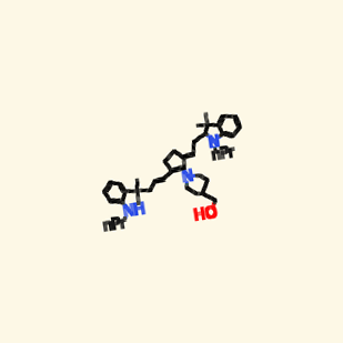 CCCNc1ccccc1C(C)(C)C/C=C/C1=C(N2CCC(CO)CC2)C(=C/CC2N(CCC)c3ccccc3C2(C)C)/CC1